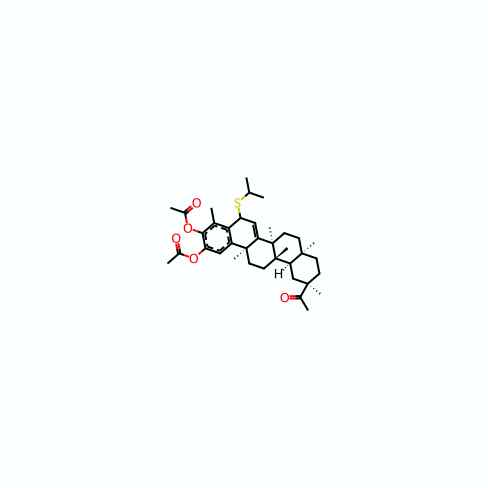 CC(=O)Oc1cc2c(c(C)c1OC(C)=O)C(SC(C)C)C=C1[C@@]2(C)CC[C@@]2(C)[C@@H]3C[C@](C)(C(C)=O)CC[C@]3(C)CC[C@]12C